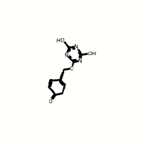 O=C1C=CC(COc2nc(O)nc(O)n2)=CC1